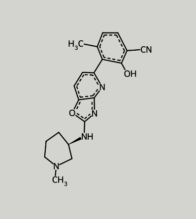 Cc1ccc(C#N)c(O)c1-c1ccc2oc(N[C@@H]3CCCN(C)C3)nc2n1